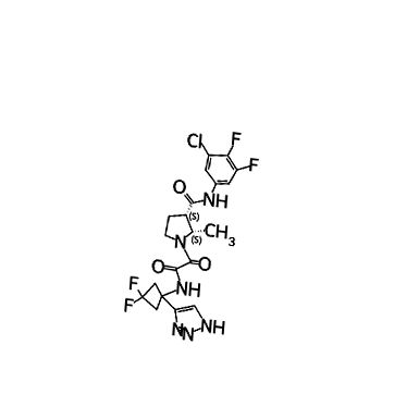 C[C@H]1[C@@H](C(=O)Nc2cc(F)c(F)c(Cl)c2)CCN1C(=O)C(=O)NC1(c2c[nH]nn2)CC(F)(F)C1